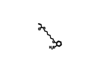 C=CC(=O)OCCCCCCOc1ccccc1[SiH3]